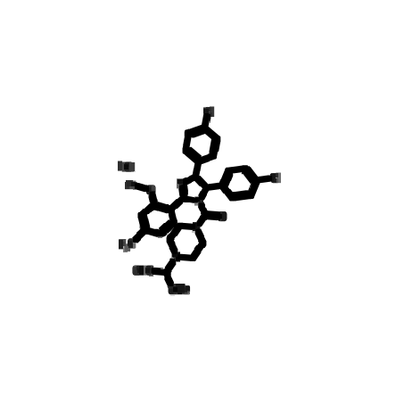 CCOc1cc(C(F)(F)F)ccc1C1=NC(c2ccc(Cl)cc2)C(c2ccc(Cl)cc2)N1C(=O)N1CCN(C(C=O)OC)CC1.Cl